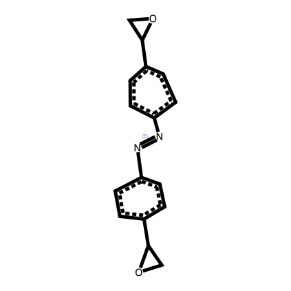 c1cc(C2CO2)ccc1/N=N/c1ccc(C2CO2)cc1